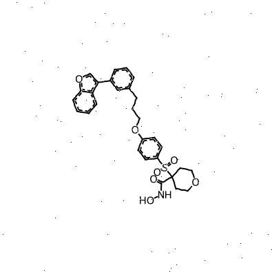 O=C(NO)C1(S(=O)(=O)c2ccc(OCCCc3cccc(-c4coc5ccccc45)c3)cc2)CCOCC1